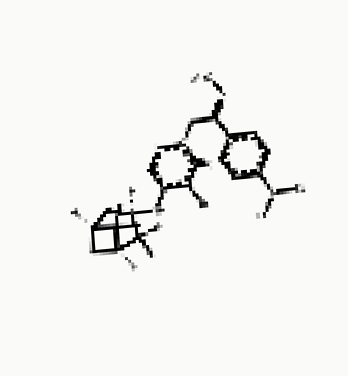 CCN(CC)c1ccc(/C(Cn2ncc(N[C@@H]3C[C@@H]4C[C@H]([C@H]3C)C4(C)C)c(Br)c2=O)=N/OC)cc1